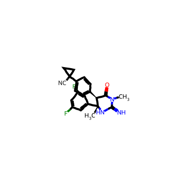 CN1C(=N)N[C@](C)(c2cc(F)cc(F)c2)[C@@H](c2ccc(C3(C#N)CC3)cc2)C1=O